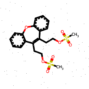 CS(=O)(=O)OCCC1=C(CCOS(C)(=O)=O)c2ccccc2Oc2ccccc21